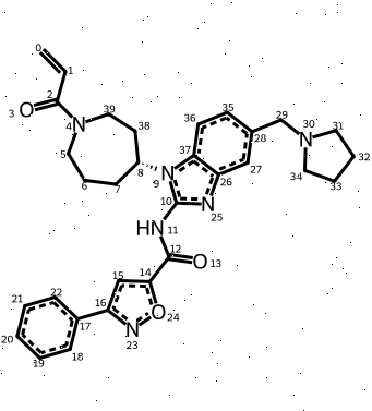 C=CC(=O)N1CCC[C@@H](n2c(NC(=O)c3cc(-c4ccccc4)no3)nc3cc(CN4CCCC4)ccc32)CC1